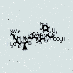 CNCCCC[C@@H](C)C(=O)N[C@H](C(=O)N(C)[C@H](C[C@@H](OC(C)=O)c1nc(C(=O)N[C@@H](Cc2ccc(F)cc2)C[C@H](C)C(=O)O)cs1)C(C)C)C1CC1